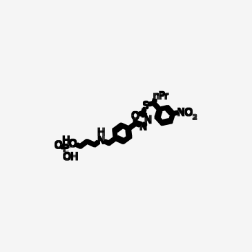 CCCC(Sc1nnc(-c2ccc(CNCCCO[PH](=O)O)cc2)o1)c1cccc([N+](=O)[O-])c1